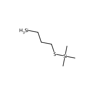 C[Si](C)(C)SCCC[SiH3]